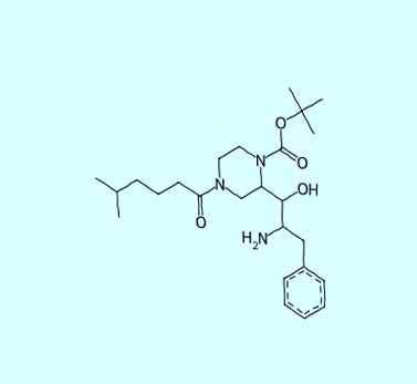 CC(C)CCCC(=O)N1CCN(C(=O)OC(C)(C)C)C(C(O)C(N)Cc2ccccc2)C1